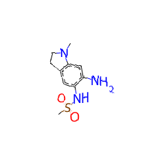 CN1CCc2cc(NS(C)(=O)=O)c(N)cc21